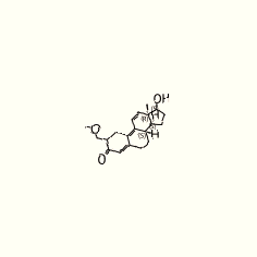 COCC1CC2=C3C=C[C@]4(C)[C@@H](O)CC[C@H]4[C@@H]3CCC2=CC1=O